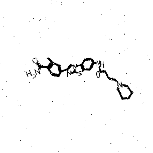 Cc1cc(-c2cn3c(n2)sc2cc(NC(=O)CCCN4CCCCC4)ccc23)ccc1C(N)=O